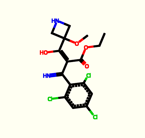 CCOC(=O)/C(C(=N)c1c(Cl)cc(Cl)cc1Cl)=C(/O)C1(OC)CNC1